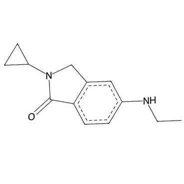 CCNc1ccc2c(c1)CN(C1CC1)C2=O